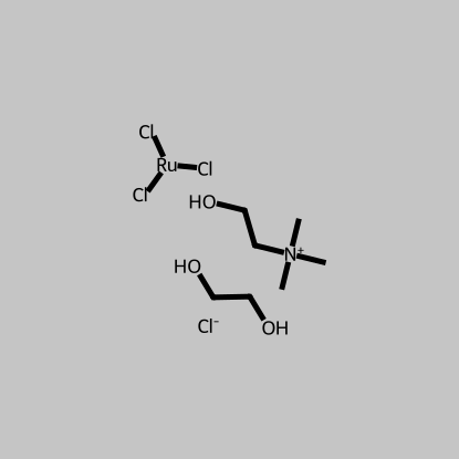 C[N+](C)(C)CCO.OCCO.[Cl-].[Cl][Ru]([Cl])[Cl]